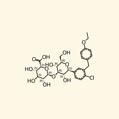 CCOc1ccc(Cc2cc([C@@H]3O[C@H](CO)[C@@H](O)[C@H](O[C@@H]4O[C@H](C(=O)O)[C@@H](O)[C@H](O)[C@H]4O)[C@H]3O)ccc2Cl)cc1